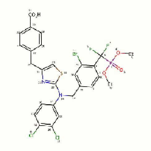 CCOP(=O)(OCC)C(F)(F)c1ccc(CN(c2ccc(Cl)c(Cl)c2)c2nc(Cc3ccc(C(=O)O)cc3)cs2)cc1Br